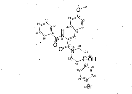 COc1ccc(C=C(NC(=O)c2ccccc2)C(=O)N2CCC(O)(c3ccc(Br)cc3)CC2)cc1